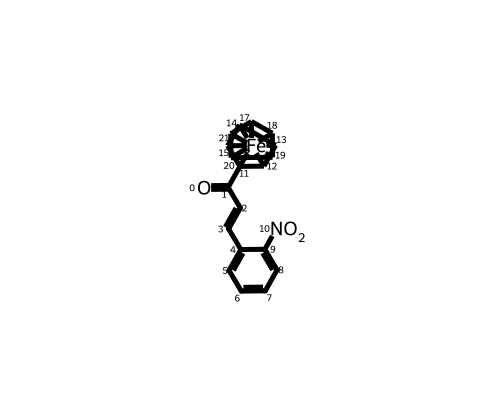 O=C(C=Cc1ccccc1[N+](=O)[O-])[C]12[CH]3[CH]4[CH]5[CH]1[Fe]45321678[CH]2[CH]1[CH]6[CH]7[CH]28